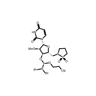 CO[C@@H]1[C@H](OP(OCCC#N)N(C(C)C)C(C)C)[C@@H](CN2CCCS2(=O)=O)O[C@H]1n1ccc(=O)[nH]c1=O